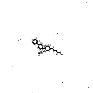 CCCCCCC1CCC(C2(N=C=S)C=CC(c3ccccc3)C=C2)CC1